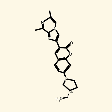 Cc1cn2cc(-c3cc4ccc(N5CC[C@H](CN)C5)cc4oc3=O)nc2c(C)n1